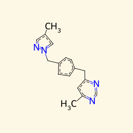 Cc1cnn(Cc2ccc(Cc3cc(C)ncn3)cc2)c1